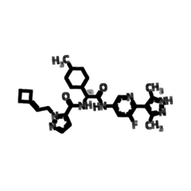 Cc1n[nH]c(C)c1-c1ncc(NC(=O)[C@@H](NC(=O)c2ccnn2CC=C2CCC2)C2CCC(C)CC2)cc1F